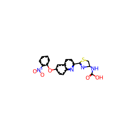 O=C(O)NC1CSC(c2ccc3cc(Oc4ccccc4[N+](=O)[O-])ccc3n2)=N1